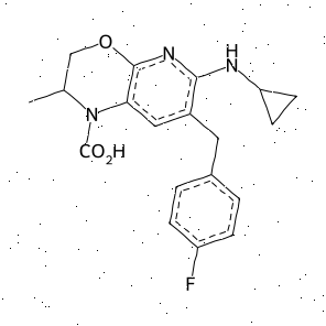 CC1COc2nc(NC3CC3)c(Cc3ccc(F)cc3)cc2N1C(=O)O